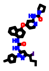 CCCC(I)c1cc(NC(=O)Nc2ccc(Oc3ccnc(NC(=O)N4CCCC4)c3)c3ccccc23)n(-c2ccc(C)cc2)n1